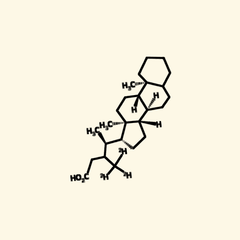 [2H]C([2H])([2H])C(CC(=O)O)[C@@H](C)[C@H]1CC[C@H]2[C@@H]3CCC4CCCC[C@]4(C)[C@H]3CC[C@]12C